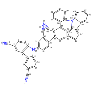 N#Cc1ccc2c(c1)c1cc(C#N)ccc1n2-c1ccc(-c2cccc(-c3ccccc3-n3c4ccccc4c4ccccc43)c2C#N)c(C#N)c1